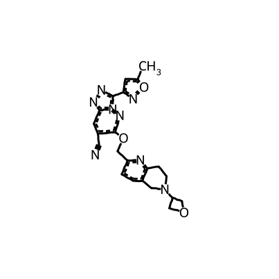 Cc1cc(-c2nnc3cc(C#N)c(OCc4ccc5c(n4)CCN(C4COC4)C5)nn23)no1